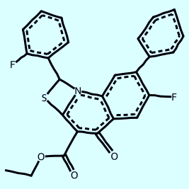 CCOC(=O)c1c2n(c3cc(-c4ccccc4)c(F)cc3c1=O)C(c1ccccc1F)S2